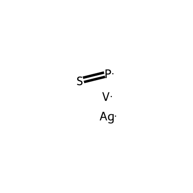 [Ag].[P]=S.[V]